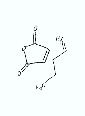 C=CCCC.O=C1C=CC(=O)O1